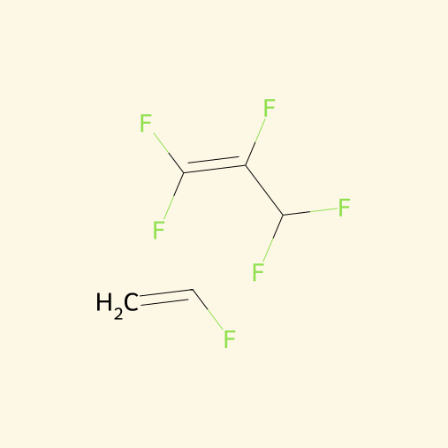 C=CF.FC(F)=C(F)C(F)F